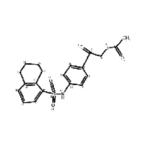 CC(=O)SCC(=O)c1ccc(NS(=O)(=O)c2cccc3c2CCCC3)cc1